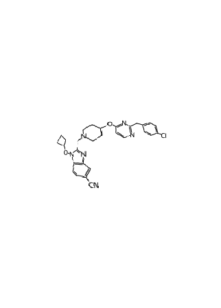 N#Cc1ccc2c(c1)nc(CN1CCC(Oc3ccnc(Cc4ccc(Cl)cc4)n3)CC1)n2OC1CCC1